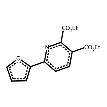 CCOC(=O)c1ccc(-c2ccco2)nc1C(=O)OCC